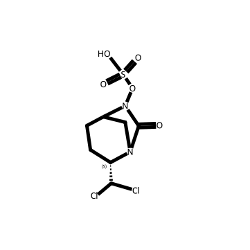 O=C1N(OS(=O)(=O)O)C2CC[C@@H](C(Cl)Cl)N1C2